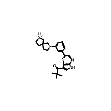 CC(C)(C)C(=O)c1c[nH]c2ncc(-c3cccc(N4CCC5(CC[SH2]C5)C4)c3)nc12